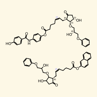 O=C(CCC/C=C\C[C@H]1C(=O)CC(O)C1OCC(O)COc1ccccc1)Oc1ccc2ccccc2c1.O=C(CCC/C=C\C[C@H]1C(=O)C[C@H](O)[C@H]1OC[C@@H](O)COc1ccccc1)Oc1ccc(NC(=O)c2ccc(O)cc2)cc1